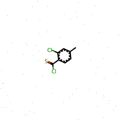 Cc1ccc(C(=S)Cl)c(Cl)c1